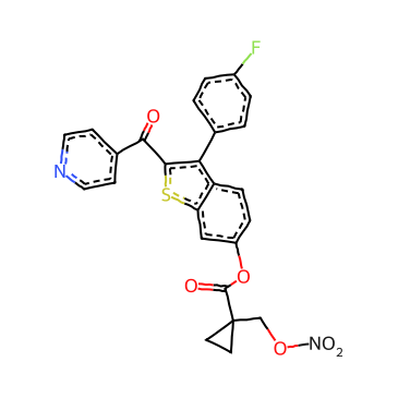 O=C(c1ccncc1)c1sc2cc(OC(=O)C3(CO[N+](=O)[O-])CC3)ccc2c1-c1ccc(F)cc1